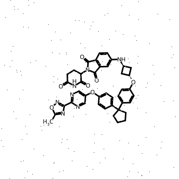 Cc1nc(-c2ncc(Oc3ccc(C4(c5ccc(O[C@H]6C[C@H](Nc7ccc8c(c7)C(=O)N(C7CCC(=O)NC7=O)C8=O)C6)cc5)CCCC4)cc3)cn2)no1